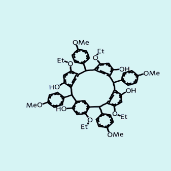 CCOc1cc(O)c2cc1C(c1ccc(OC)cc1)c1cc(c(O)cc1OCC)C(c1ccc(OC)cc1)c1cc(c(OCC)cc1O)C(c1ccc(OC)cc1)c1cc(c(O)cc1OCC)C2c1ccc(OC)cc1